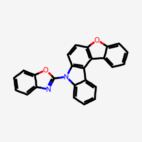 c1ccc2oc(-n3c4ccccc4c4c5c(ccc43)oc3ccccc35)nc2c1